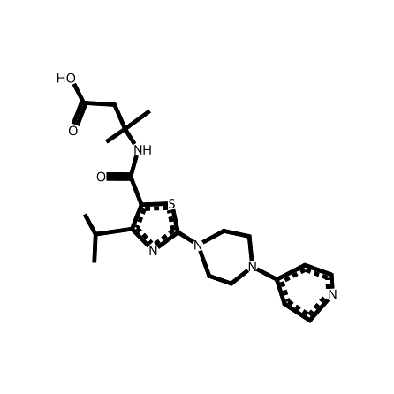 CC(C)c1nc(N2CCN(c3ccncc3)CC2)sc1C(=O)NC(C)(C)CC(=O)O